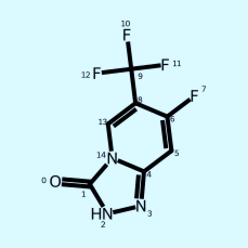 O=c1[nH]nc2cc(F)c(C(F)(F)F)cn12